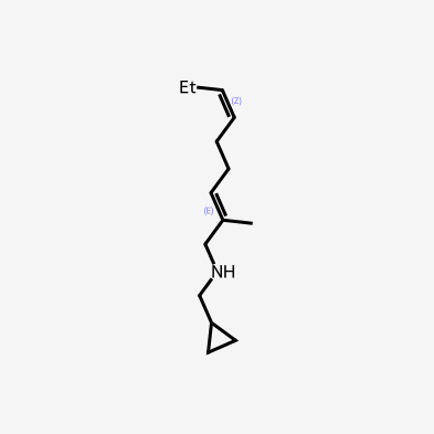 CC/C=C\CC/C=C(\C)CNCC1CC1